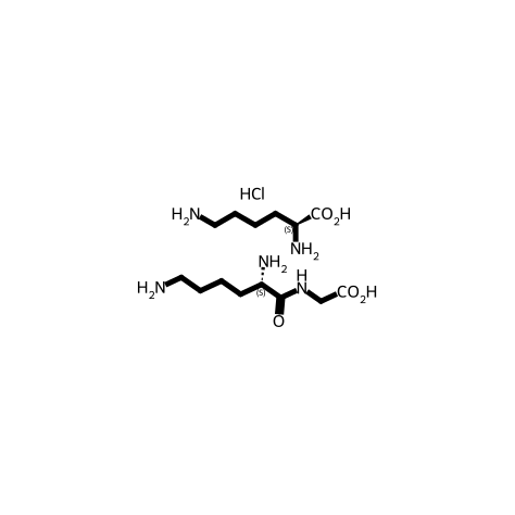 Cl.NCCCC[C@H](N)C(=O)NCC(=O)O.NCCCC[C@H](N)C(=O)O